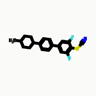 CC1CCC(c2ccc(-c3cc(F)c(SC#N)c(F)c3)cc2)CC1